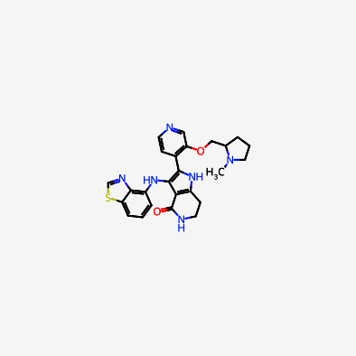 CN1CCCC1COc1cnccc1-c1[nH]c2c(c1Nc1cccc3scnc13)C(=O)NCC2